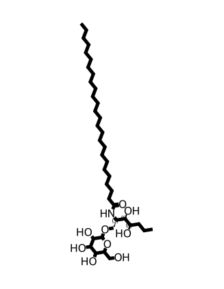 CCCCCCCCCCCCCCCCCCCCCCCCCC(=O)N[C@@H](COC1OC(CO)C(O)C(O)C1O)[C@H](O)[C@H](O)CCC